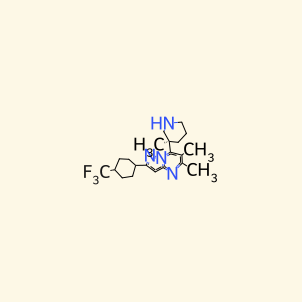 Cc1nc2cc(C3CCC(C(F)(F)F)CC3)nn2c([C@]2(C)CCCNC2)c1C